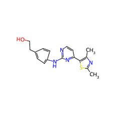 Cc1nc(C)c(-c2ccnc(Nc3ccc(CCO)cc3)n2)s1